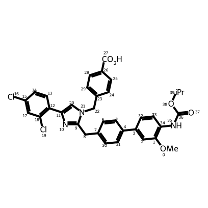 COc1cc(-c2ccc(Cc3nc(-c4ccc(Cl)cc4Cl)cn3Cc3ccc(C(=O)O)cc3)cc2)ccc1NC(=O)OC(C)C